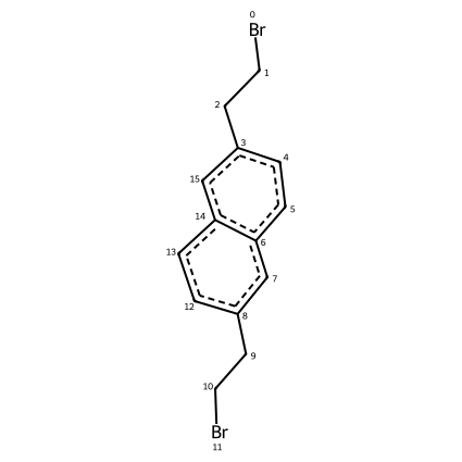 BrCCc1ccc2cc(CCBr)ccc2c1